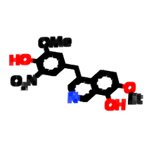 CCOc1ccc2c(Cc3cc(OC)c(O)c([N+](=O)[O-])c3)cncc2c1O